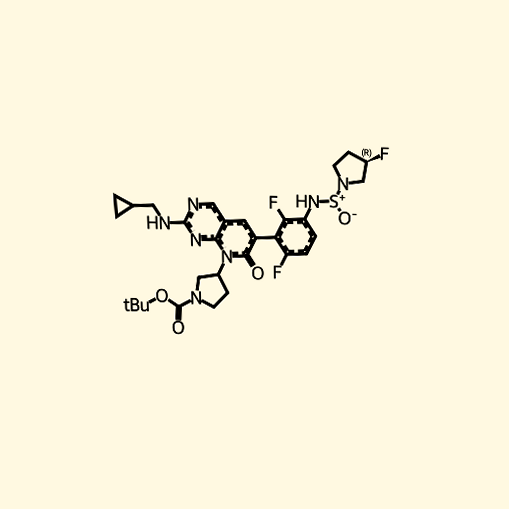 CC(C)(C)OC(=O)N1CCC(n2c(=O)c(-c3c(F)ccc(N[S+]([O-])N4CC[C@@H](F)C4)c3F)cc3cnc(NCC4CC4)nc32)C1